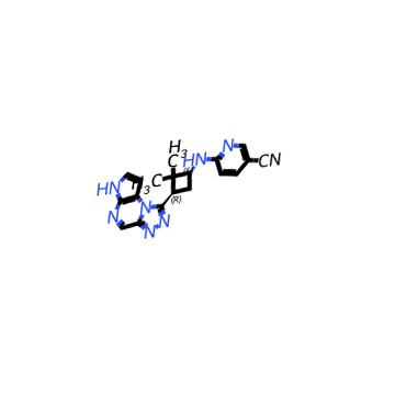 CC1(C)[C@@H](Nc2ccc(C#N)cn2)C[C@H]1c1nnc2cnc3[nH]ccc3n12